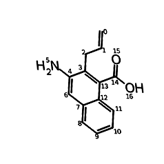 C=CCc1c(N)cc2ccccc2c1C(=O)O